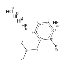 CC(C)Cc1ccccc1[S].Cl.F.F.F.F